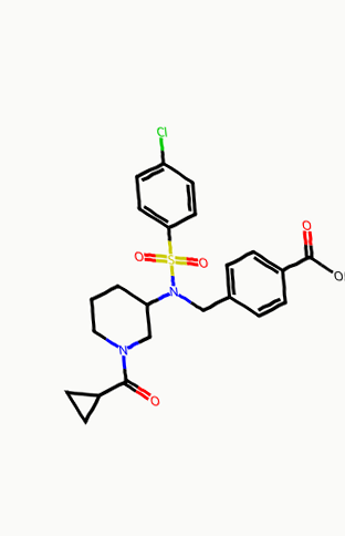 COC(=O)c1ccc(CN(C2CCCN(C(=O)C3CC3)C2)S(=O)(=O)c2ccc(Cl)cc2)cc1